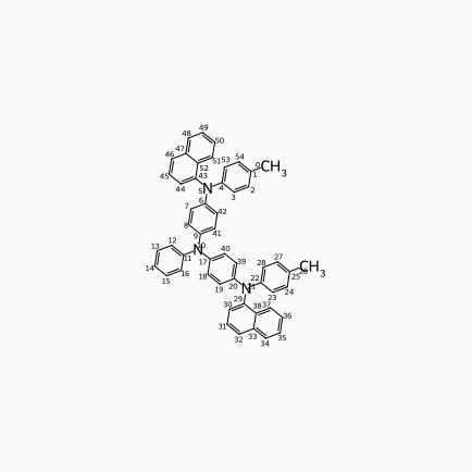 Cc1ccc(N(c2ccc(N(c3ccccc3)c3ccc(N(c4ccc(C)cc4)c4cccc5ccccc45)cc3)cc2)c2cccc3ccccc23)cc1